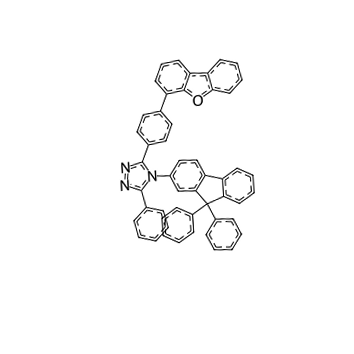 c1ccc(-c2nnc(-c3ccc(-c4cccc5c4oc4ccccc45)cc3)n2-c2ccc3c(c2)C(c2ccccc2)(c2ccccc2)c2ccccc2-3)cc1